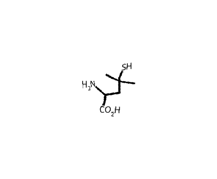 CC(C)(S)CC(N)C(=O)O